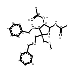 COC[C@]1(COCc2ccccc2)OC(OC(C)=O)[C@H](OC(C)=O)[C@@H]1OCc1ccccc1